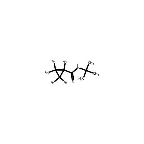 [2H]C1([2H])C([2H])([2H])C1([2H])C(=O)NC(C)(C)C